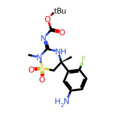 CN1/C(=N/C(=O)OC(C)(C)C)N[C@](C)(c2cc(N)ccc2F)CS1(=O)=O